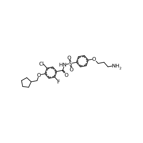 NCCCOc1ccc(S(=O)(=O)NC(=O)c2cc(Cl)c(OCC3CCCC3)cc2F)cc1